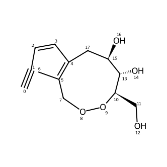 C#C/C=C\C1=C(/C)COO[C@H](CO)[C@@H](O)[C@H](O)C1